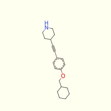 C(#CC1CCNCC1)c1ccc(OCC2CCCCC2)cc1